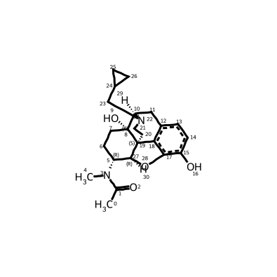 CC(=O)N(C)[C@@H]1CC[C@@]2(O)[C@H]3Cc4ccc(O)c5c4[C@@]2(CCN3CC2CC2)[C@H]1O5